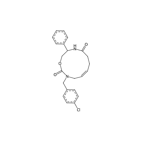 O=C1CCC=CCN(Cc2ccc(Cl)cc2)C(=O)OCC(c2ccccc2)N1